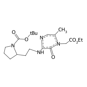 CCOC(=O)Cn1c(C)cnc(NCCC2CCCN2C(=O)OC(C)(C)C)c1=O